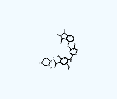 COc1cc(C(=O)N[C@H]2CCNC[C@H]2F)c(Cl)cc1Nc1ncc(Cl)c(Oc2cccc3c2C(=O)N(C)C3C)n1